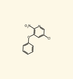 O=[N+]([O-])c1ncc(Cl)cc1Oc1ccccc1